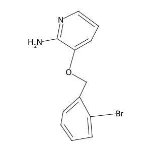 Nc1ncccc1OCc1ccccc1Br